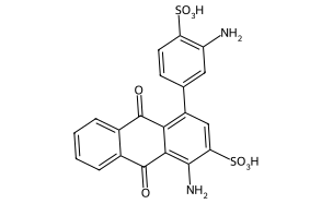 Nc1cc(-c2cc(S(=O)(=O)O)c(N)c3c2C(=O)c2ccccc2C3=O)ccc1S(=O)(=O)O